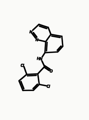 O=C(Nc1cccc2ccnnc12)c1c(Cl)cccc1Cl